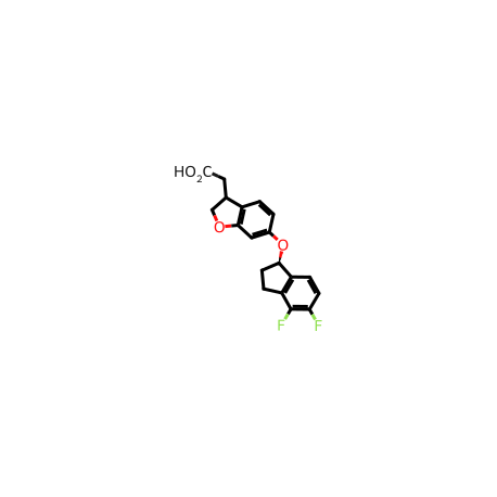 O=C(O)CC1COc2cc(O[C@@H]3CCc4c3ccc(F)c4F)ccc21